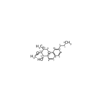 CCCc1ccc(/C=C\[C@@H]2OC[C@H](C)[C@H](OC)[C@H]2O)cc1